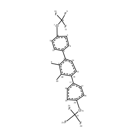 Cc1c(-c2ccc(OC(F)(F)F)cc2)ccc(-c2ccc(OC(F)(F)F)cc2)c1C